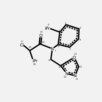 CC(C)c1ccccc1N(Cc1nnco1)C(=O)C(Cl)C(C)C